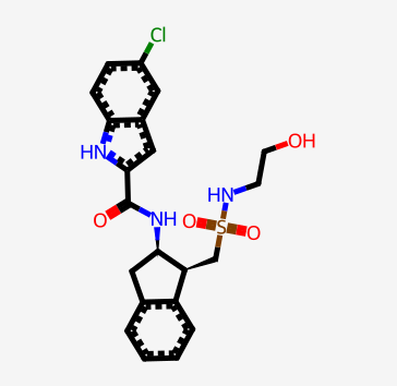 O=C(N[C@@H]1Cc2ccccc2[C@@H]1CS(=O)(=O)NCCO)c1cc2cc(Cl)ccc2[nH]1